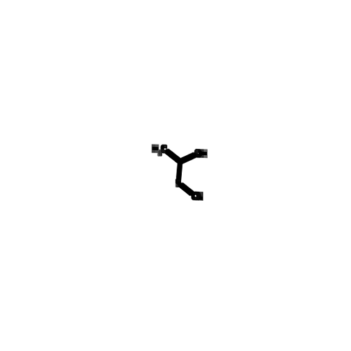 CC(O)SC#N